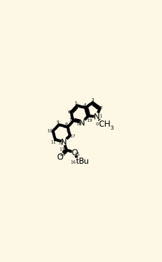 Cn1ccc2ccc(C3CCCN(C(=O)OC(C)(C)C)C3)nc21